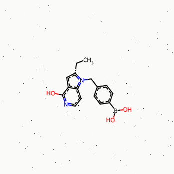 CCc1cc2c(O)nccc2n1Cc1ccc(B(O)O)cc1